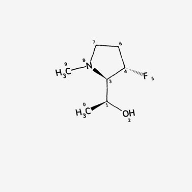 C[C@H](O)[C@@H]1[C@@H](F)CCN1C